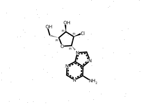 Nc1ncnc2c1ncn2[C@@H]1O[C@H](CO)[C@@H](O)[C@H]1Cl